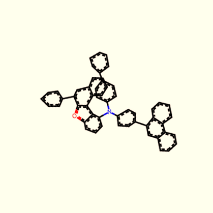 c1ccc(-c2ccc(N(c3ccc(-c4cc5ccccc5c5ccccc45)cc3)c3cccc4oc5c(-c6ccccc6)cc6ccccc6c5c34)cc2)cc1